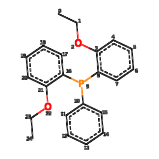 CCOc1ccccc1P(c1ccccc1)c1ccccc1OCC